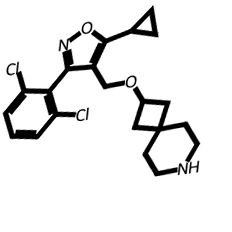 Clc1cccc(Cl)c1-c1noc(C2CC2)c1COC1CC2(CCNCC2)C1